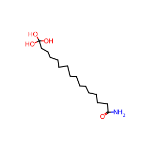 NC(=O)CCCCCCCCCCCCCCC(O)(O)O